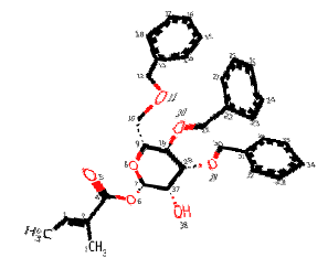 C/C=C(\C)C(=O)O[C@@H]1O[C@H](COCc2ccccc2)[C@@H](OCc2ccccc2)[C@H](OCc2ccccc2)[C@@H]1O